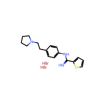 Br.Br.N=C(Nc1ccc(CCN2CCCC2)cc1)c1cccs1